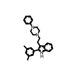 Cc1cc(C)cc(-c2[nH]c3ccccc3c2CCN2CCN(c3ccccc3)CC2)c1